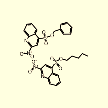 CCCCCOS(=O)(=O)c1cc([N+](=O)[O-])nc2ccccc12.O=[N+]([O-])c1cc(S(=O)(=O)OCc2ccccc2)c2ccccc2n1